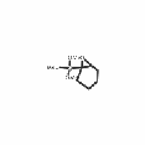 CO[Si](OC)(OC)C12CCCCC1O2